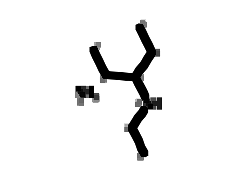 CCNC(CC)CC.N